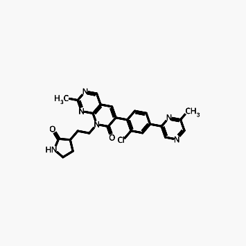 Cc1cncc(-c2ccc(-c3cc4cnc(C)nc4n(CCC4CCNC4=O)c3=O)c(Cl)c2)n1